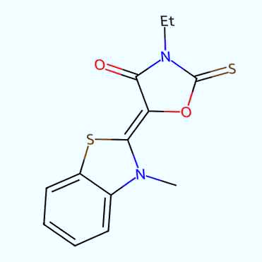 CCN1C(=O)/C(=C2\Sc3ccccc3N2C)OC1=S